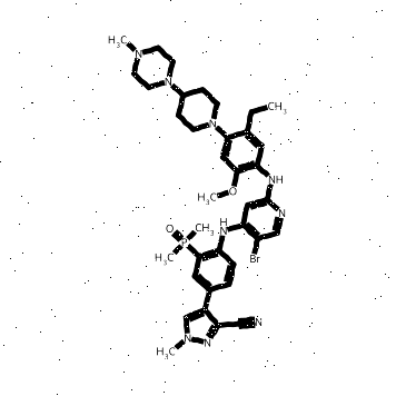 CCc1cc(Nc2cc(Nc3ccc(-c4cn(C)nc4C#N)cc3P(C)(C)=O)c(Br)cn2)c(OC)cc1N1CCC(N2CCN(C)CC2)CC1